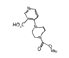 CC(C)(C)OC(=O)N1CCN(c2ccncc2C(=O)O)CC1